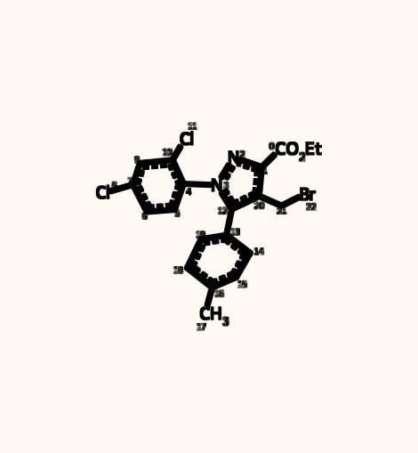 CCOC(=O)c1nn(-c2ccc(Cl)cc2Cl)c(-c2ccc(C)cc2)c1CBr